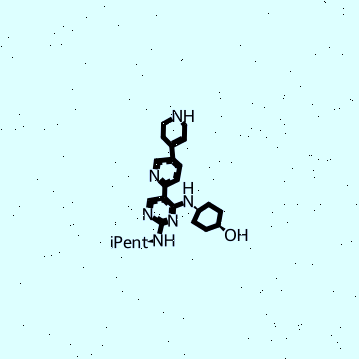 CCC[C@H](C)Nc1ncc(-c2ccc(C3=CCNCC3)cn2)c(N[C@H]2CC[C@H](O)CC2)n1